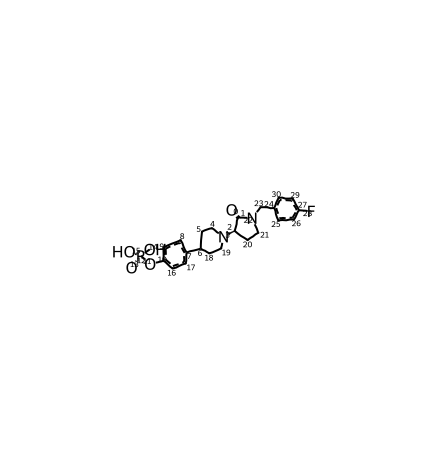 O=C1[C@H](N2CCC(c3ccc(OP(=O)(O)O)cc3)CC2)CCN1Cc1ccc(F)cc1